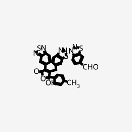 Cc1ccc(C2(O)OC(=O)C(c3ccc4nsnc4c3)=C2Cc2ccc3nnsc3c2)cc1.O=Cc1ccc2nnsc2c1